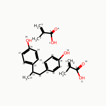 C=C(C)C(=O)O.C=C(C)C(=O)O.CC(Cc1ccc(O)cc1)c1ccc(O)cc1